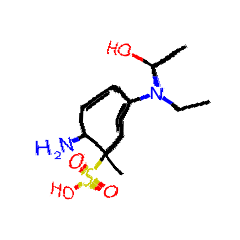 CCN(C1=CC(C)(S(=O)(=O)O)C(N)C=C1)C(C)O